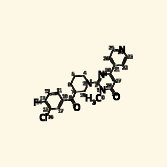 Cn1c(N2CCCC(C(=O)c3ccc(F)c(Cl)c3)C2)nc(-c2ccncc2)cc1=O